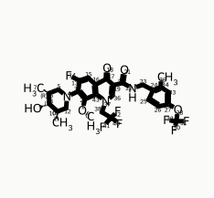 COc1c(N2C[C@@H](C)[C@@H](O)[C@@H](C)C2)c(F)cc2c(=O)c(C(=O)NCc3ccc(OC(F)(F)F)cc3C)cn(CC(F)(F)F)c12